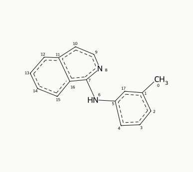 Cc1cccc(Nc2nccc3ccccc23)c1